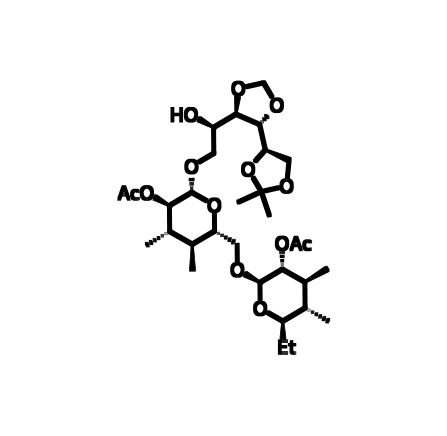 CC[C@H]1O[C@@H](OC[C@H]2O[C@@H](OC[C@@H](O)[C@H]3OCO[C@@H]3[C@H]3COC(C)(C)O3)[C@H](OC(C)=O)[C@@H](C)[C@@H]2C)[C@H](OC(C)=O)[C@@H](C)[C@@H]1C